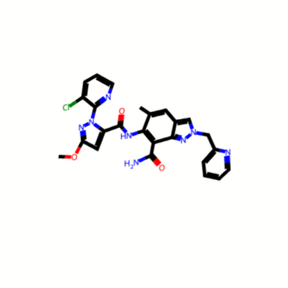 COc1cc(C(=O)Nc2c(C)cc3cn(Cc4ccccn4)nc3c2C(N)=O)n(-c2ncccc2Cl)n1